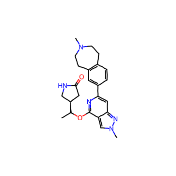 CC(Oc1nc(-c2ccc3c(c2)CCN(C)CC3)cc2nn(C)cc12)[C@H]1CNC(=O)C1